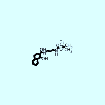 CC(C)(C)OC(=O)NCCCNC(=O)c1ccc2ccccc2c1O